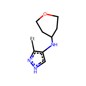 CCc1n[nH]cc1NC1CCOCC1